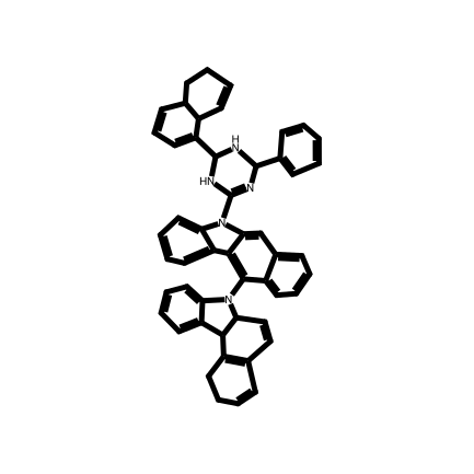 C1=CC2CCC=CC2C(C2NC(n3c4ccccc4c4c(N5c6ccccc6C6C7=C(C=CCC7)C=CC65)c5ccccc5cc43)=NC(c3ccccc3)N2)=C1